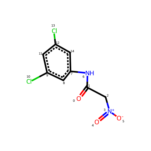 O=C(C[N+](=O)[O-])Nc1cc(Cl)cc(Cl)c1